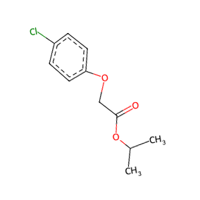 CC(C)OC(=O)COc1ccc(Cl)cc1